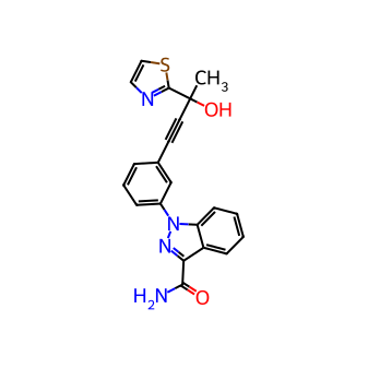 CC(O)(C#Cc1cccc(-n2nc(C(N)=O)c3ccccc32)c1)c1nccs1